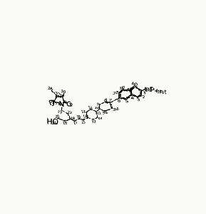 CCCCCc1ccc2cc(C3=CCC(C4CCC(CCCC(CCO)CCN5C(=O)C(C)=C(C)C5=O)CC4)CC3)ccc2c1